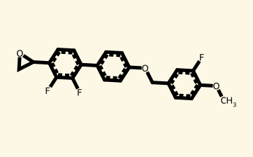 COc1ccc(COc2ccc(-c3ccc(C4CO4)c(F)c3F)cc2)cc1F